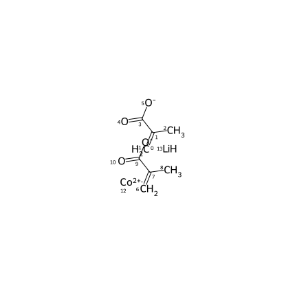 C=C(C)C(=O)[O-].C=C(C)C(=O)[O-].[Co+2].[LiH]